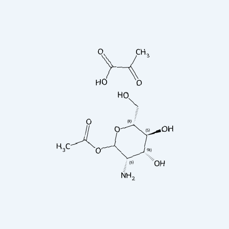 CC(=O)C(=O)O.CC(=O)OC1O[C@H](CO)[C@@H](O)[C@H](O)[C@@H]1N